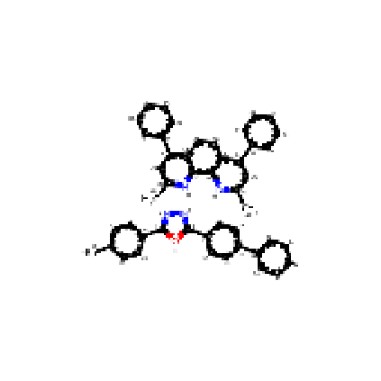 CC(C)(C)c1ccc(-c2nnc(-c3ccc(-c4ccccc4)cc3)o2)cc1.Cc1cc(-c2ccccc2)c2ccc3c(-c4ccccc4)cc(C)nc3c2n1